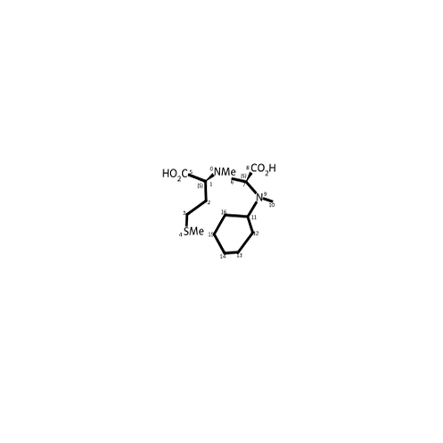 CN[C@@H](CCSC)C(=O)O.C[C@@H](C(=O)O)N(C)C1CCCCC1